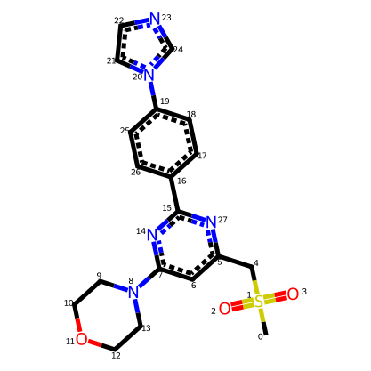 CS(=O)(=O)Cc1cc(N2CCOCC2)nc(-c2ccc(-n3ccnc3)cc2)n1